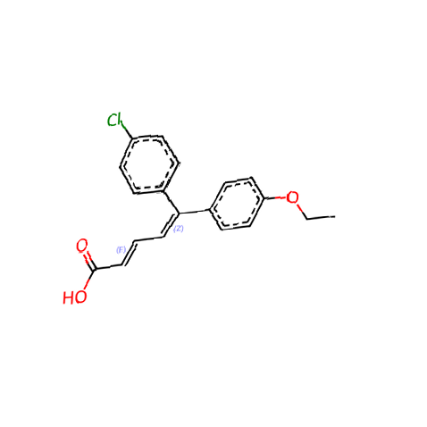 CCOc1ccc(/C(=C/C=C/C(=O)O)c2ccc(Cl)cc2)cc1